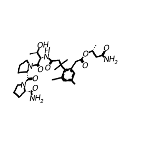 Cc1cc(C)c(C(C)(C)CC(=O)N[C@H](C(=O)N2CCC[C@H]2C(=O)N2CCC[C@H]2C(N)=O)[C@@H](C)O)c(CC(=O)O[C@H](C)CC(N)=O)c1